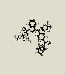 CC(C)(C)OC(=O)n1cc(-c2nn(CC(F)(F)F)c3cc(C(=O)N4CC5CCC(C4)O5)ncc23)c2ccccc21